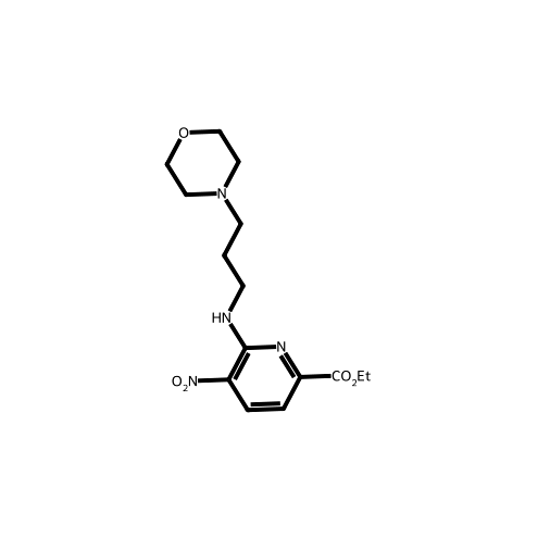 CCOC(=O)c1ccc([N+](=O)[O-])c(NCCCN2CCOCC2)n1